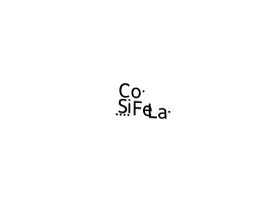 [Co].[Fe].[La].[Si]